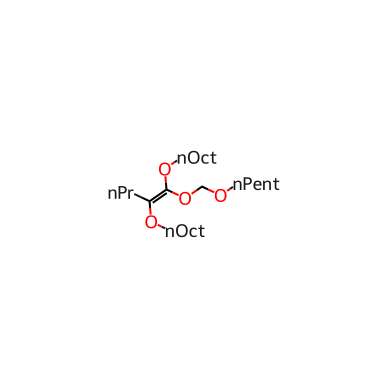 CCCCCCCCOC(CCC)=C(OCCCCCCCC)OCOCCCCC